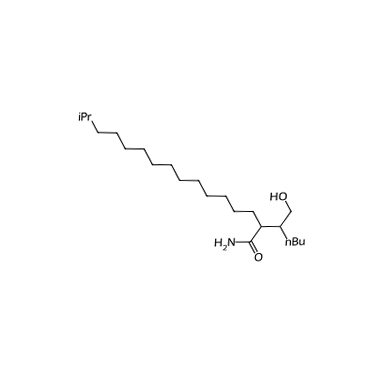 CCCCC(CO)C(CCCCCCCCCCCCC(C)C)C(N)=O